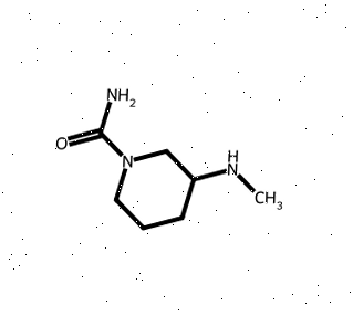 CNC1CCCN(C(N)=O)C1